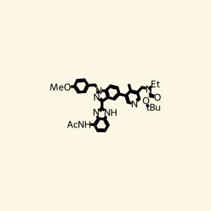 CCN(Cc1cncc(-c2ccc3c(c2)c(-c2nc4c(NC(C)=O)cccc4[nH]2)nn3Cc2ccc(OC)cc2)c1C)C(=O)OC(C)(C)C